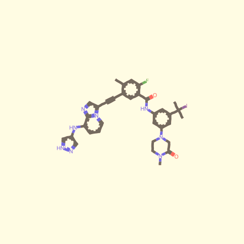 Cc1cc(F)c(C(=O)Nc2cc(N3CCN(C)C(=O)C3)cc(C(C)(C)I)c2)cc1C#Cc1cnc2c(Nc3cn[nH]c3)cccn12